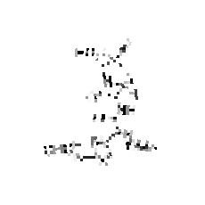 C#CC1(C(=O)O)CS[C@@H]2C(NC(=O)C(=NOC)c3csc(NC=O)n3)C(=O)N2C1